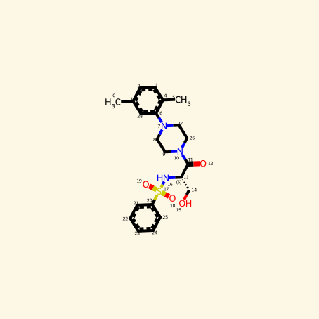 Cc1ccc(C)c(N2CCN(C(=O)[C@H](CO)NS(=O)(=O)c3ccccc3)CC2)c1